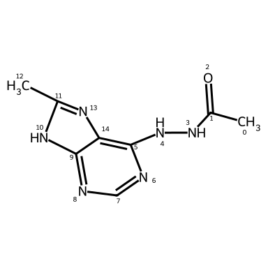 CC(=O)NNc1ncnc2[nH]c(C)nc12